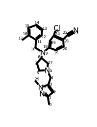 Cc1cc(CN2CC[C@H](N(Cc3ccccc3C)c3ccc(C#N)c(Cl)c3)C2)n(C)n1